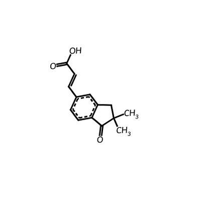 CC1(C)Cc2cc(C=CC(=O)O)ccc2C1=O